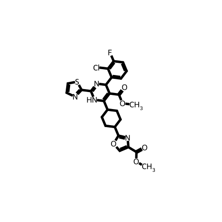 COC(=O)C1=C(C2CCC(c3nc(C(=O)OC)co3)CC2)NC(c2nccs2)=NC1c1cccc(F)c1Cl